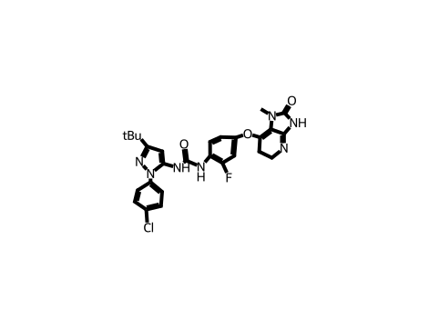 Cn1c(=O)[nH]c2c1=C(Oc1ccc(NC(=O)Nc3cc(C(C)(C)C)nn3-c3ccc(Cl)cc3)c(F)c1)CCN=2